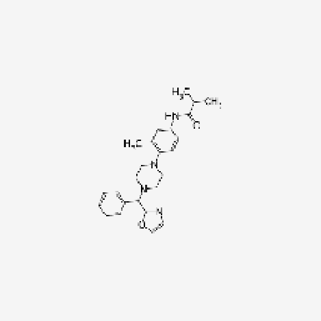 Cc1cc(NC(=O)C(C)C)ccc1N1CCN(C(c2ccccc2)c2ncco2)CC1